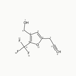 C#CCc1cc(CO)c(C(F)(F)F)o1